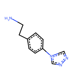 NCCc1ccc(-n2cnnc2)cc1